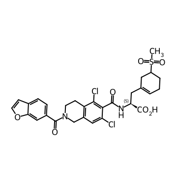 CS(=O)(=O)C1CCC=C(C[C@H](NC(=O)c2c(Cl)cc3c(c2Cl)CCN(C(=O)c2ccc4ccoc4c2)C3)C(=O)O)C1